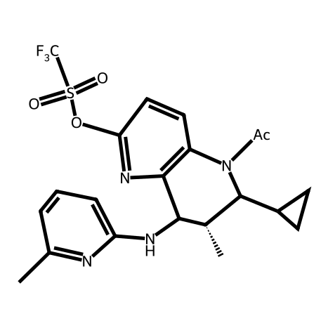 CC(=O)N1c2ccc(OS(=O)(=O)C(F)(F)F)nc2C(Nc2cccc(C)n2)[C@@H](C)C1C1CC1